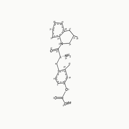 COC(=O)Oc1ccc(C[C@@H](N)C(=O)N2CC(C)Cc3ccccc32)c(C)c1